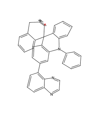 c1ccc(N2c3ccccc3C3(c4ccccc4Cc4ccccc43)c3ccc(-c4cccc5nccnc45)cc32)cc1